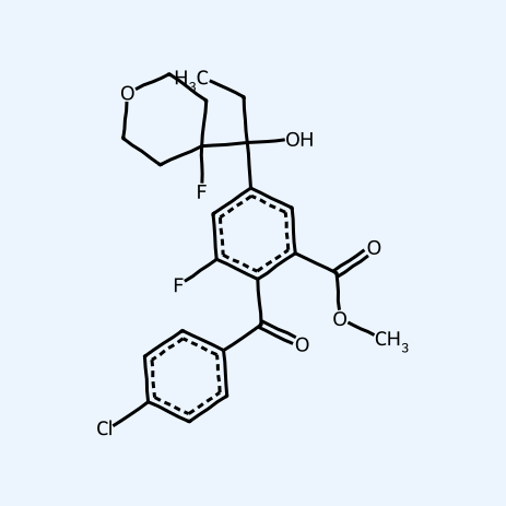 CCC(O)(c1cc(F)c(C(=O)c2ccc(Cl)cc2)c(C(=O)OC)c1)C1(F)CCOCC1